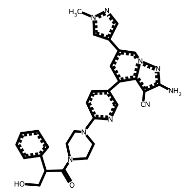 Cn1cc(-c2cc(-c3ccc(N4CCN(C(=O)C(CO)c5ccccc5)CC4)nc3)c3c(C#N)c(N)nn3c2)cn1